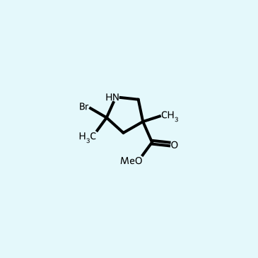 COC(=O)C1(C)CNC(C)(Br)C1